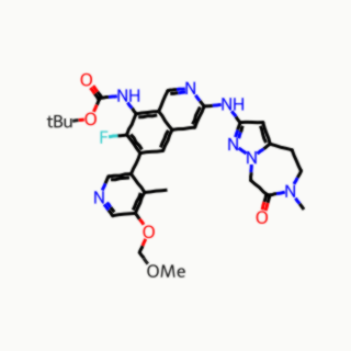 COCOc1cncc(-c2cc3cc(Nc4cc5n(n4)CC(=O)N(C)CC5)ncc3c(NC(=O)OC(C)(C)C)c2F)c1C